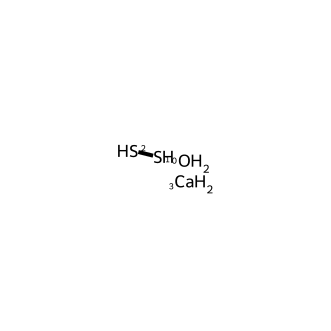 O.SS.[CaH2]